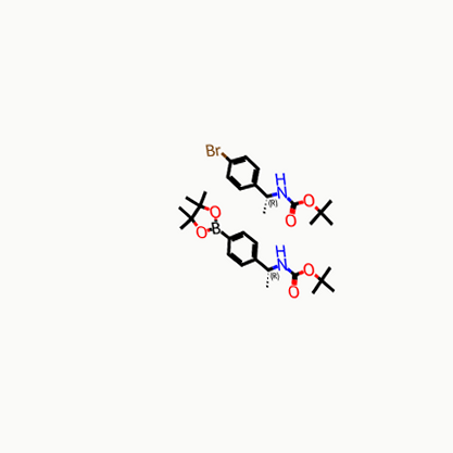 C[C@@H](NC(=O)OC(C)(C)C)c1ccc(B2OC(C)(C)C(C)(C)O2)cc1.C[C@@H](NC(=O)OC(C)(C)C)c1ccc(Br)cc1